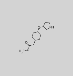 COC(=O)CC1CCC(OC2CCNC2)CC1